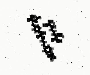 CCOC(Cc1ccc(NC(=O)OCCCc2ccc(OS(C)(=O)=O)cc2)cc1)C(=O)O.N=C(N)NCCCC(N)C(=O)O